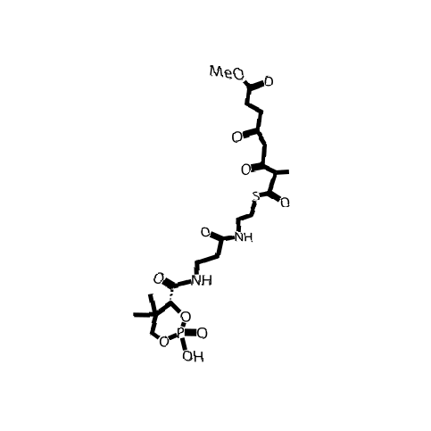 COC(=O)CCC(=O)CC(=O)C(C)C(=O)SCCNC(=O)CCNC(=O)[C@@H]1OP(=O)(O)OCC1(C)C